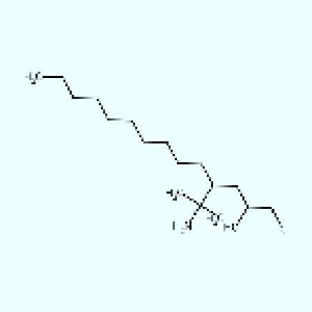 CCCCCCCCCCC(CC(O)CCl)C(C)(C)N